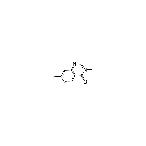 Cn1cnc2cc(I)ccc2c1=O